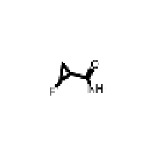 [NH]C(=O)C1CC1F